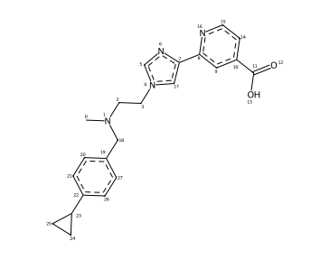 CN(CCn1cnc(-c2cc(C(=O)O)ccn2)c1)Cc1ccc(C2CC2)cc1